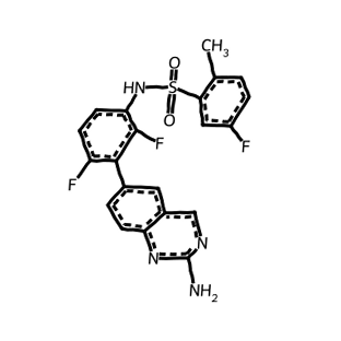 Cc1ccc(F)cc1S(=O)(=O)Nc1ccc(F)c(-c2ccc3nc(N)ncc3c2)c1F